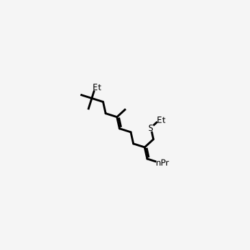 CCC/C=C(/CC/C=C(\C)CCC(C)(C)CC)CSCC